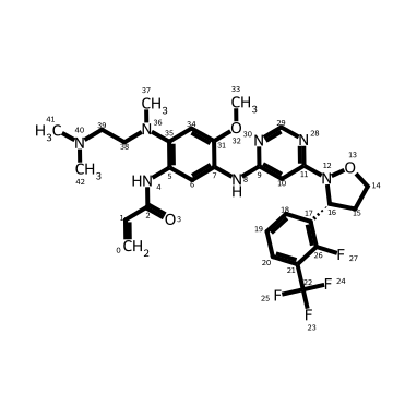 C=CC(=O)Nc1cc(Nc2cc(N3OCC[C@@H]3c3cccc(C(F)(F)F)c3F)ncn2)c(OC)cc1N(C)CCN(C)C